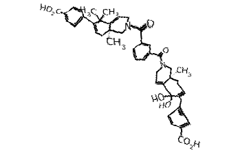 CC1(C)C(c2ccc(C(=O)O)cc2)=CC[C@]2(C)CN(C(=O)c3cccc(C(=O)N4CC=C5C(O)(O)C(c6ccc(C(=O)O)cc6)=CC[C@]5(C)C4)c3)CC=C12